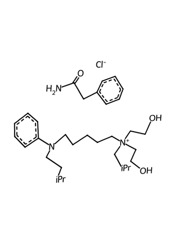 CC(C)CCN(CCCCC[N+](CCO)(CCO)CC(C)C)c1ccccc1.NC(=O)Cc1ccccc1.[Cl-]